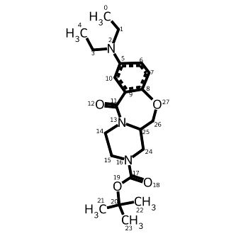 CCN(CC)c1ccc2c(c1)C(=O)N1CCN(C(=O)OC(C)(C)C)CC1CO2